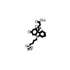 CC1(C)CC(=O)CC2N(CCCCS(=O)(=O)O)c3ccccc3C21CCCC(=O)O